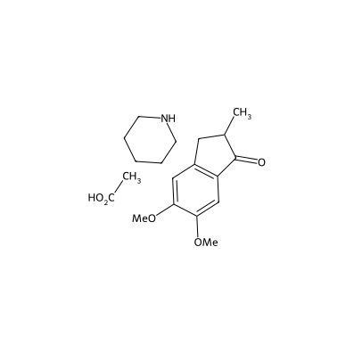 C1CCNCC1.CC(=O)O.COc1cc2c(cc1OC)C(=O)C(C)C2